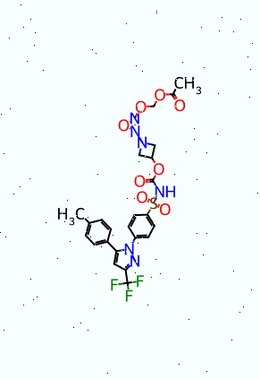 CC(=O)OCOn1on1N1CC(OC(=O)NS(=O)(=O)c2ccc(-n3nc(C(F)(F)F)cc3-c3ccc(C)cc3)cc2)C1